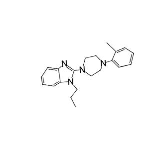 CCCn1c(N2CCN(c3ccccc3C)CC2)nc2ccccc21